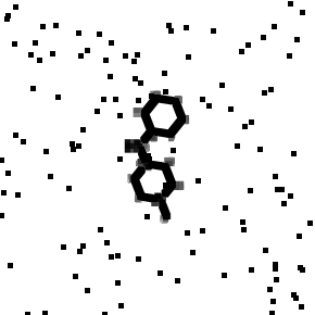 CN1CCN(NC2CCCCC2)CC1